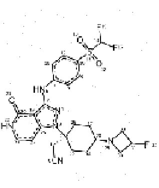 N#CC[C@]1(n2nc(Nc3ccc(S(=O)(=O)C(F)F)cc3)c3c(=O)[nH]ccc32)CC[C@@H](N2CC(F)C2)CC1